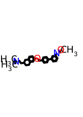 CO/C=N/c1cccc(-c2ccc(COc3ccc4c(c3)CCC(CCN(C)C)C4)cc2)c1